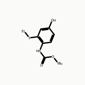 CCSc1cc(O)ccc1NC(=O)OC(C)(C)C